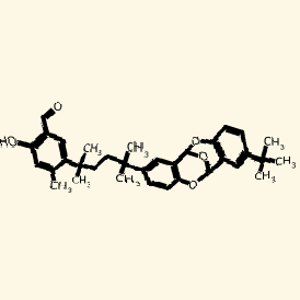 Cc1cc(O)c(C=O)cc1C(C)(C)CCC(C)(C)c1ccc2c(c1)C1Oc3ccc(C(C)(C)C)cc3C(O2)O1